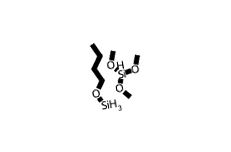 CCCCO[SiH3].CO[SiH](OC)OC